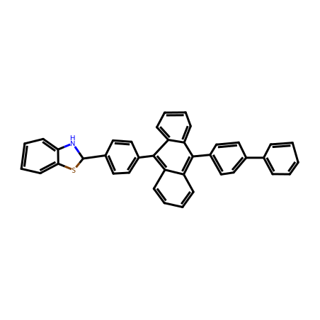 c1ccc(-c2ccc(-c3c4ccccc4c(-c4ccc(C5Nc6ccccc6S5)cc4)c4ccccc34)cc2)cc1